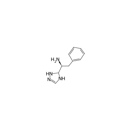 N[C@@H](Cc1ccccc1)C1NC=NN1